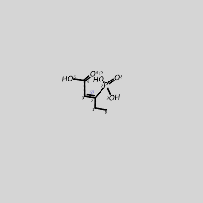 CC/C(=C/C(=O)O)P(=O)(O)O